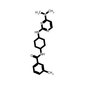 Cc1cccc(C(=O)NC2CCC(Nc3nccc(N(C)C)n3)CC2)c1